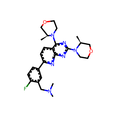 C[C@H]1COCCN1c1nc(N2CCOC[C@@H]2C)c2ccc(-c3ccc(F)c(CN(C)C)c3)nc2n1